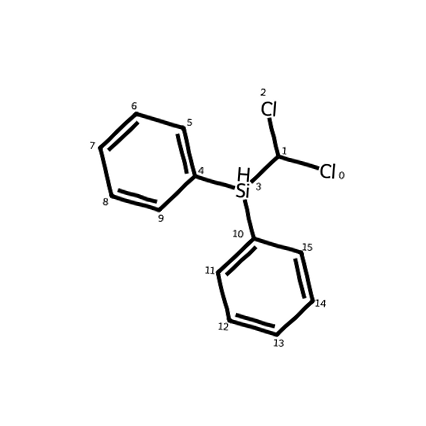 ClC(Cl)[SiH](c1ccccc1)c1ccccc1